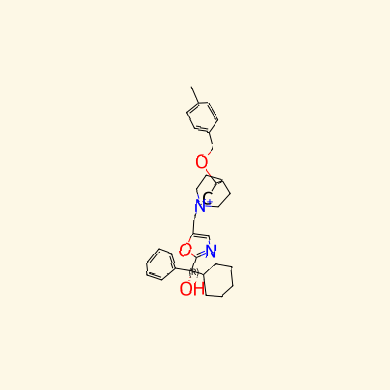 Cc1ccc(COC2C[N+]3(Cc4cnc([C@](O)(c5ccccc5)C5CCCCC5)o4)CCC2CC3)cc1